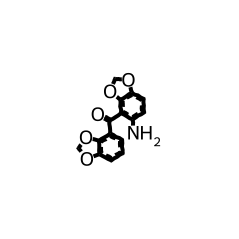 Nc1ccc2c(c1C(=O)c1cccc3c1OCO3)OCO2